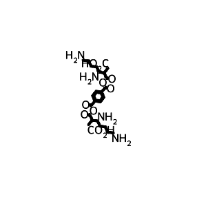 NCCCCC(N)C(CC(=O)O)C(=O)OC(=O)c1ccc(C(=O)OC(=O)C(CC(=O)O)C(N)CCCCN)cc1